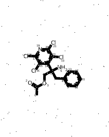 CC(=O)OCC(N)(Cc1ccccc1)c1c(Cl)c(Cl)nc(Cl)c1Cl